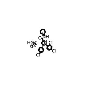 CS(=O)(=O)O.O=C(NN1CCCCC1)C1=NN(c2ccc(Cl)cc2Cl)[C@H](c2ccc(Cl)cc2)C1